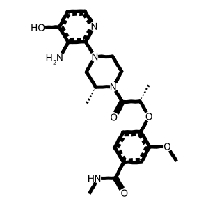 CNC(=O)c1ccc(O[C@@H](C)C(=O)N2CCN(c3nccc(O)c3N)C[C@H]2C)c(OC)c1